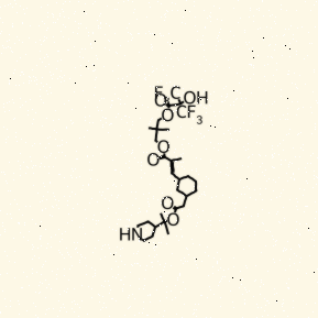 C/C(=C\C1CCCC(CC(=O)OC(C)(C)C2CCNCC2)C1)C(=O)OCC(C)(C)COC(=O)C(O)(C(F)(F)F)C(F)(F)F